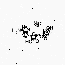 Nc1ncnc2c1ncn2[C@@H]1O[C@H](COP(=O)([O-])OP(=O)([O-])O)[C@@H](O)[C@H]1O.[Na+].[Na+]